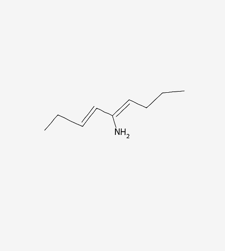 CCC=CC(N)=CCCC